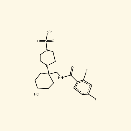 CCCS(=O)(=O)N1CCN(C2(CNC(=O)c3ccc(F)cc3F)CCCCC2)CC1.Cl